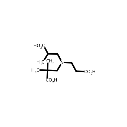 CC(CN(CCC(=O)O)CC(C)(C)C(=O)O)C(=O)O